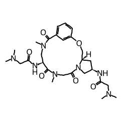 CN(C)CC(=O)N[C@@H]1C[C@H]2COc3cccc(c3)C(=O)N(C)C[C@H](NC(=O)CN(C)C)C(=O)N(C)CC(=O)N2C1